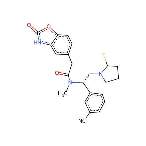 CN(C(=O)Cc1ccc2oc(=O)[nH]c2c1)[C@H](CN1CCCC1F)c1cccc(C#N)c1